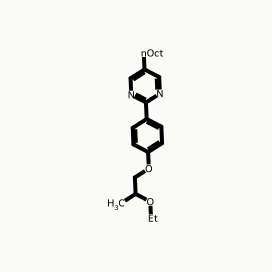 CCCCCCCCc1cnc(-c2ccc(OCC(C)OCC)cc2)nc1